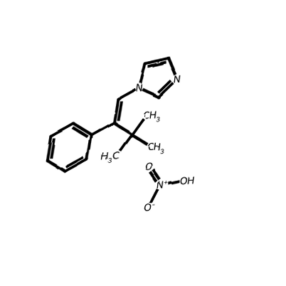 CC(C)(C)C(=Cn1ccnc1)c1ccccc1.O=[N+]([O-])O